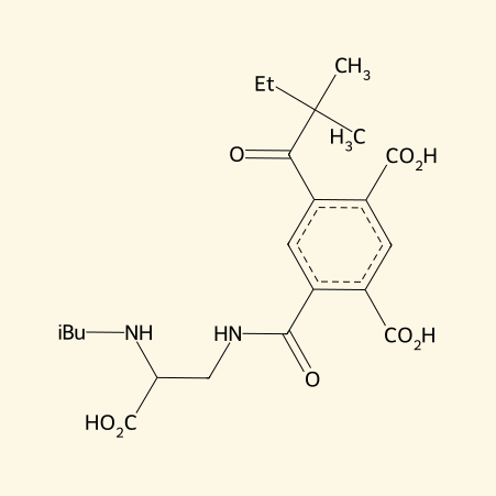 CCC(C)NC(CNC(=O)c1cc(C(=O)C(C)(C)CC)c(C(=O)O)cc1C(=O)O)C(=O)O